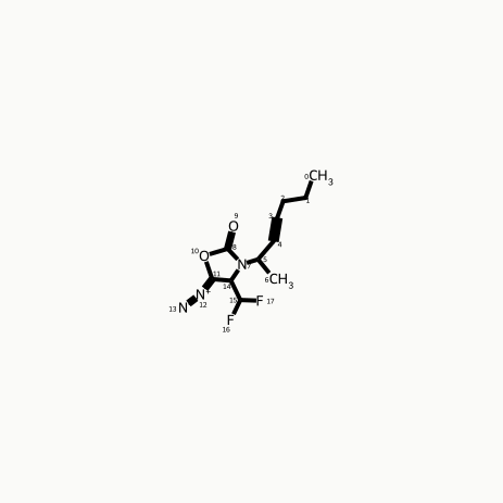 CCCC#CC(C)N1C(=O)OC(=[N+]=[N-])C1C(F)F